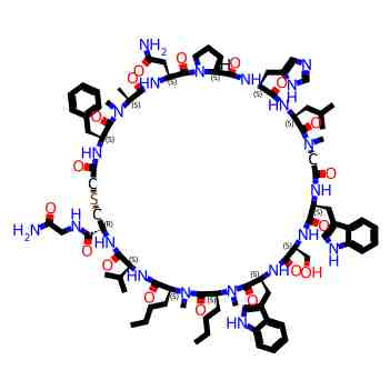 CCCC[C@H]1C(=O)N(C)[C@@H](CCCC)C(=O)N[C@@H](C(C)C)C(=O)N[C@H](C(=O)NCC(N)=O)CSCC(=O)N[C@@H](Cc2ccccc2)C(=O)N(C)[C@@H](C)C(=O)N[C@@H](CC(N)=O)C(=O)N2CCC[C@H]2C(=O)N[C@@H](Cc2cnc[nH]2)C(=O)N[C@@H](CC(C)C)C(=O)N(C)CC(=O)N[C@@H](Cc2c[nH]c3ccccc23)C(=O)N[C@@H](CO)C(=O)N[C@@H](Cc2c[nH]c3ccccc23)C(=O)N1C